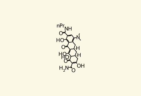 CCCNC(=O)c1cc(N(C)C)c2c(c1O)C(=O)C1=C(O)[C@]3(O)C(=O)C(C(N)=O)=C(O)C[C@@H]3C[C@@H]1C2